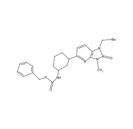 Cn1c(=O)n(CC(C)(C)C)c2ccc(C3CCCC(NC(=O)OCc4ccccc4)C3)nc21